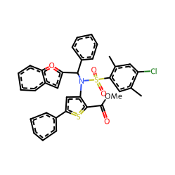 COC(=O)c1sc(-c2ccccc2)cc1N(C(c1ccccc1)c1cc2ccccc2o1)S(=O)(=O)c1cc(C)c(Cl)cc1C